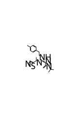 C=c1/c(=C(\N=C(/C)c2cncs2)NCCc2ccc(C)cc2)ncn1C(C)C